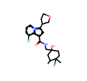 CC1CC(O)(CNC(=O)c2cc(C3CCOC3)n3cccc(Cl)c23)CCC1(C)F